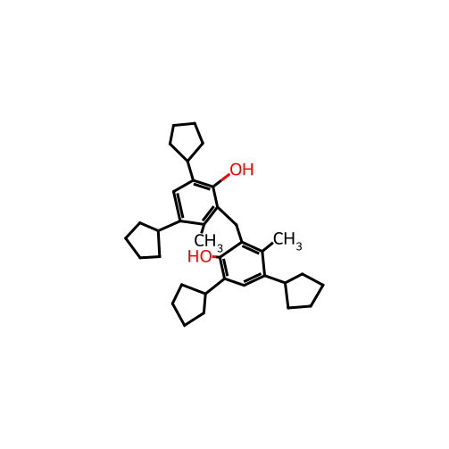 Cc1c(C2CCCC2)cc(C2CCCC2)c(O)c1Cc1c(C)c(C2CCCC2)cc(C2CCCC2)c1O